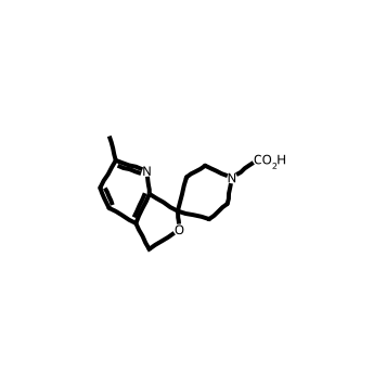 Cc1ccc2c(n1)C1(CCN(C(=O)O)CC1)OC2